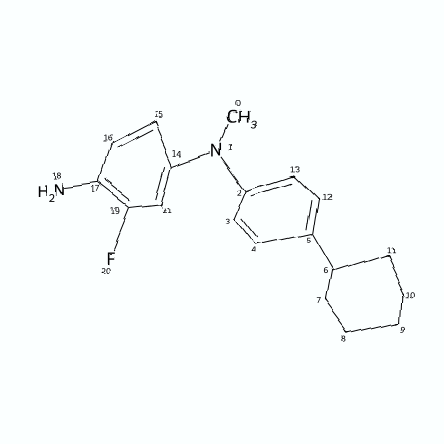 CN(c1ccc(C2CCCCC2)cc1)c1ccc(N)c(F)c1